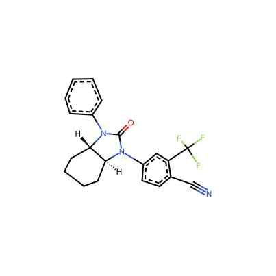 N#Cc1ccc(N2C(=O)N(c3ccccc3)[C@H]3CCCC[C@@H]32)cc1C(F)(F)F